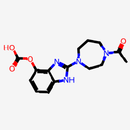 CC(=O)N1CCCN(c2nc3c(OC(=O)O)cccc3[nH]2)CC1